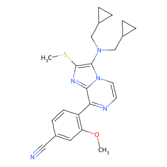 COc1cc(C#N)ccc1-c1nccn2c(N(CC3CC3)CC3CC3)c(SC)nc12